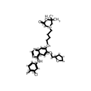 CC1(C)CN(CCCCOc2cc3ncnc(Nc4ccc(F)c(Cl)c4)c3cc2OCC2CCCO2)CC(=O)O1